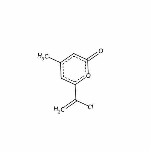 C=C(Cl)c1cc(C)cc(=O)o1